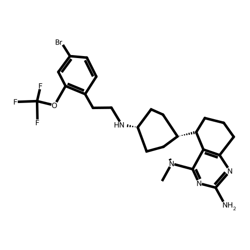 CN(C)c1nc(N)nc2c1C([C@H]1CC[C@@H](NCCc3ccc(Br)cc3OC(F)(F)F)CC1)CCC2